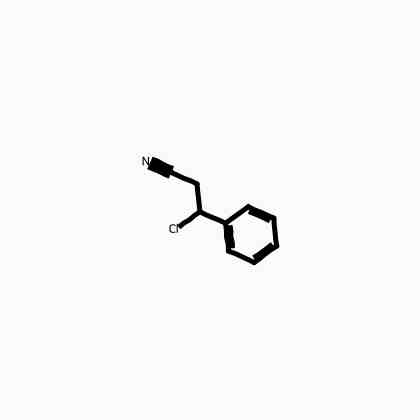 N#CCC(Cl)c1[c]cccc1